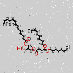 CC/C=C\CCCCCOC(CCC(=O)OCC(CO)COC(=O)CCCCCCC/C=C\C/C=C\CCCCC)OCCCCC/C=C\CC